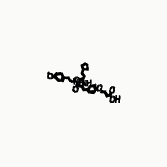 COc1ccc(CCNC(=O)C(Cc2ccc(OCCCC(=O)O)cc2)NC(=O)CCC2CCCC2)cc1